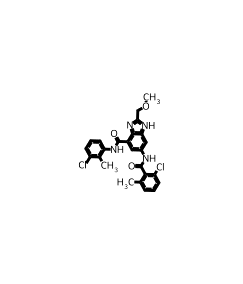 COCc1nc2c(C(=O)Nc3cccc(Cl)c3C)cc(NC(=O)c3c(C)cccc3Cl)cc2[nH]1